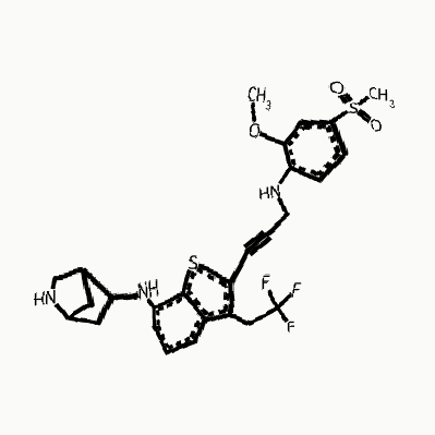 COc1cc(S(C)(=O)=O)ccc1NCC#Cc1sc2c(NC3CC4CC3CN4)cccc2c1CC(F)(F)F